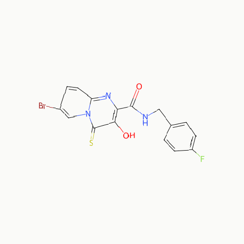 O=C(NCc1ccc(F)cc1)c1nc2ccc(Br)cn2c(=S)c1O